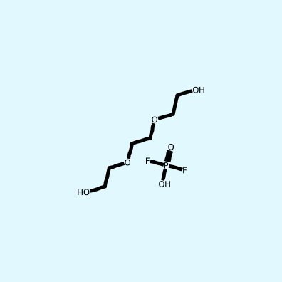 O=P(O)(F)F.OCCOCCOCCO